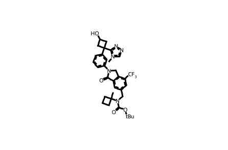 Cn1cnnc1C1(c2cccc(N3Cc4c(cc(CN(C(=O)OC(C)(C)C)C5(C)CCC5)cc4C(F)(F)F)C3=O)c2)CC(O)C1